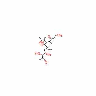 C=CC(C)(CC(O)C(O)C(=C)C=O)C(O)C(C(=C)C(C)=O)C(=C)C(=O)CCO